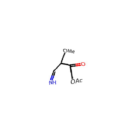 COC(C=N)C(=O)OC(C)=O